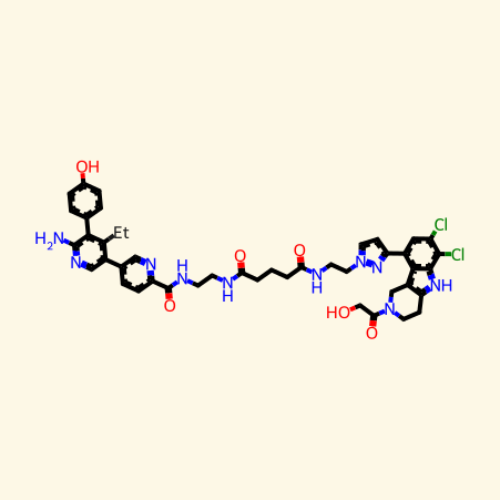 CCc1c(-c2ccc(C(=O)NCCNC(=O)CCCC(=O)NCCn3ccc(-c4cc(Cl)c(Cl)c5[nH]c6c(c45)CN(C(=O)CO)CC6)n3)nc2)cnc(N)c1-c1ccc(O)cc1